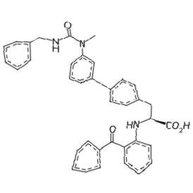 CN(C(=O)NCc1ccccc1)c1cccc(-c2ccc(C[C@H](Nc3ccccc3C(=O)c3ccccc3)C(=O)O)cc2)c1